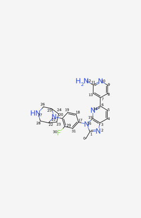 Cc1nc2ccc(-c3ccnc(N)c3)nc2n1-c1ccc(N2C3CCC2CNC3)c(F)c1